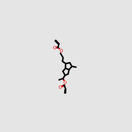 C=CC(=O)OCCCC1CC(C)C2CC(C(C)OC(=O)C=C)CC12